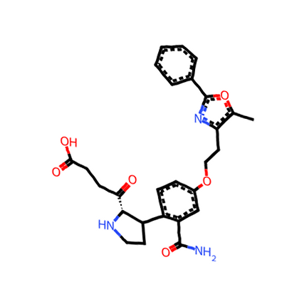 Cc1oc(-c2ccccc2)nc1CCOc1ccc(C2CCN[C@@H]2C(=O)CCC(=O)O)c(C(N)=O)c1